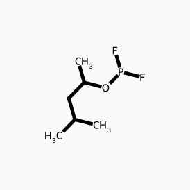 CC(C)CC(C)OP(F)F